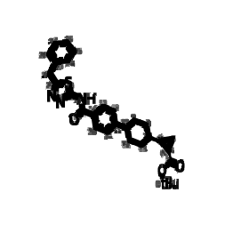 CC(C)(C)OC(=O)[C@H]1C[C@@H]1C1CCC(c2ccc(C(=O)Nc3nnc(Cc4ccccc4)s3)cc2)CC1